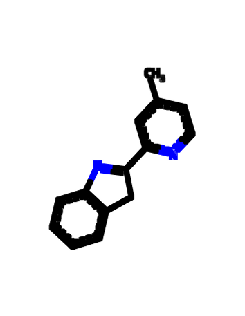 Cc1ccnc(C2=Nc3ccccc3C2)c1